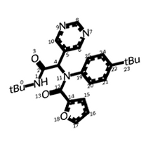 CC(C)(C)NC(=O)C(c1cncnc1)N(C(=O)c1ccco1)c1ccc(C(C)(C)C)cc1